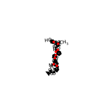 COc1nc(O[C@@H]2CCc3c(-c4cccc(-c5nc6cc(CN7CC[C@@H](C(=O)NS(=O)(=O)C8CC8)C7)cc(C#N)c6o5)c4F)cccc32)c(C(F)(F)F)nc1CN1CC[C@@H](O)C1